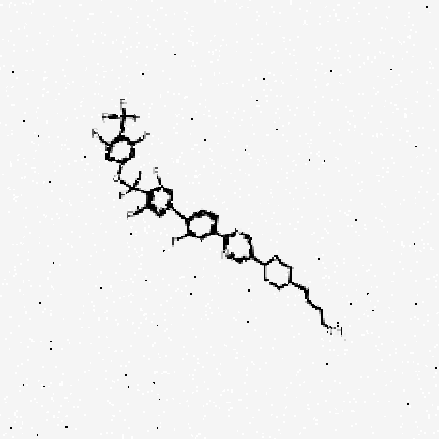 CCCCCC1CCC(c2cnc(-c3ccc(-c4cc(F)c(C(F)(F)Oc5cc(F)c(C(F)(F)F)c(F)c5)c(F)c4)c(F)c3)nc2)CC1